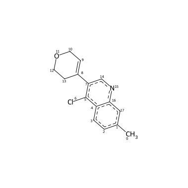 Cc1ccc2c(Cl)c(C3=CCOCC3)cnc2c1